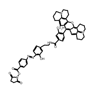 O=C(NCCc1ccc(/N=N/c2ccc(C(=O)ON3C(=O)CCC3=O)cc2)c(O)c1)c1ccc(C2=c3cc4c5c(c3Oc3c2cc2c6c3CCCN6CCC2)CCC[N+]=5CCC4)c(C(=O)O)c1